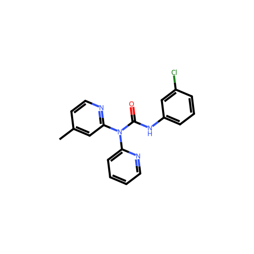 Cc1ccnc(N(C(=O)Nc2cccc(Cl)c2)c2ccccn2)c1